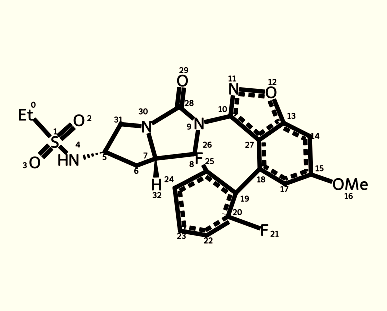 CCS(=O)(=O)N[C@H]1C[C@H]2CN(c3noc4cc(OC)cc(-c5c(F)cccc5F)c34)C(=O)N2C1